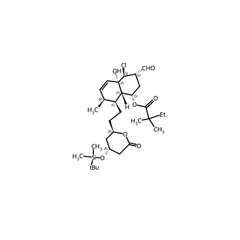 CCC(C)(C)C(=O)O[C@H]1C[C@@H](C=O)[C@H](Cl)[C@]2(O)C=C[C@H](C)[C@H](CC[C@@H]3C[C@@H](O[Si](C)(C)C(C)(C)C)CC(=O)O3)[C@@H]12